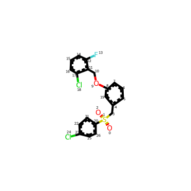 O=S(=O)(Cc1cccc(OCc2c(F)cccc2Cl)c1)c1ccc(Cl)cc1